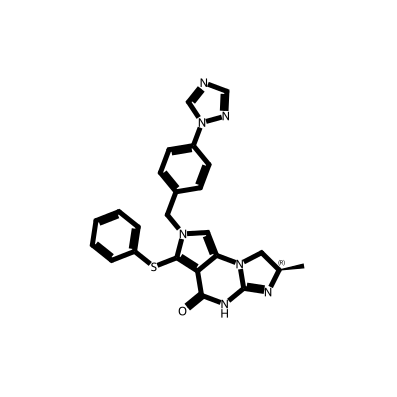 C[C@@H]1CN2C(=N1)NC(=O)c1c2cn(Cc2ccc(-n3cncn3)cc2)c1Sc1ccccc1